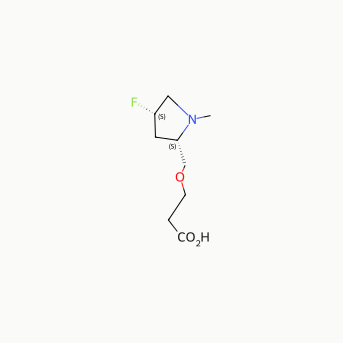 CN1C[C@@H](F)C[C@H]1COCCC(=O)O